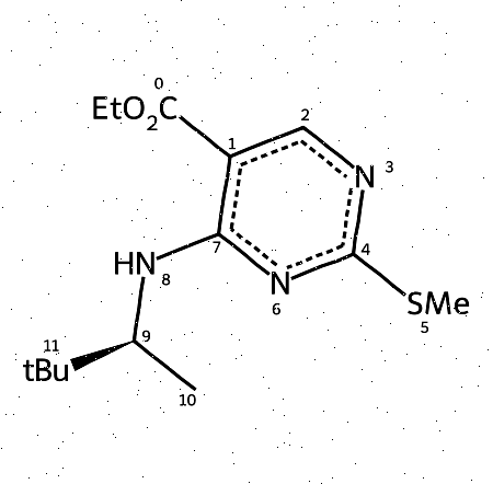 CCOC(=O)c1cnc(SC)nc1N[C@@H](C)C(C)(C)C